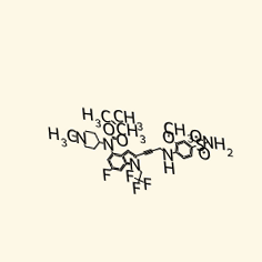 COc1cc(S(N)(=O)=O)ccc1NCC#Cc1cc2c(N(C(=O)OC(C)(C)C)C3CCN(C)CC3)cc(F)cc2n1CC(F)(F)F